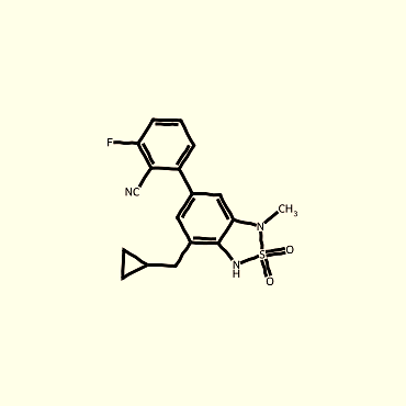 CN1c2cc(-c3cccc(F)c3C#N)cc(CC3CC3)c2NS1(=O)=O